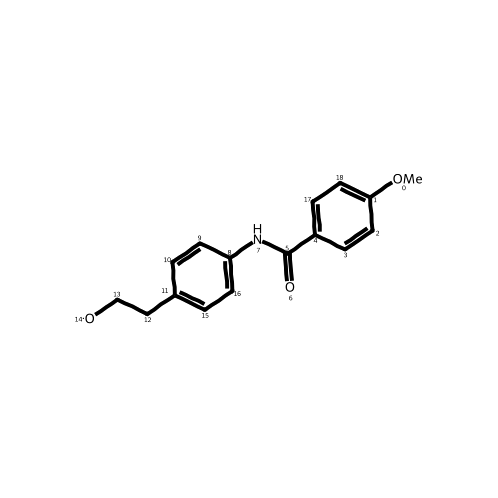 COc1ccc(C(=O)Nc2ccc(CC[O])cc2)cc1